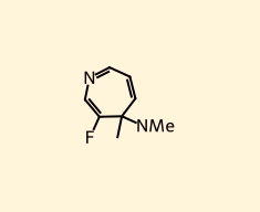 CNC1(C)C=CC=NC=C1F